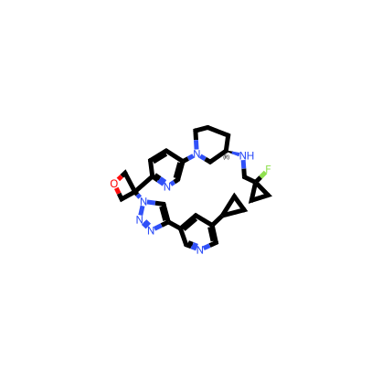 FC1(CN[C@@H]2CCCN(c3ccc(C4(n5cc(-c6cncc(C7CC7)c6)nn5)COC4)nc3)C2)CC1